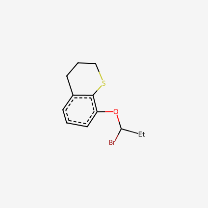 CCC(Br)Oc1cccc2c1SCCC2